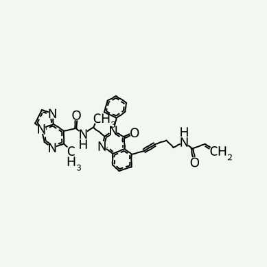 C=CC(=O)NCCC#Cc1cccc2nc(C(C)NC(=O)c3c(C)ncn4ccnc34)n(-c3ccccc3)c(=O)c12